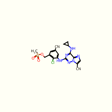 CS(=O)(=O)OCc1cc(C#N)cc(Nc2nc(NC3CC3)c3ncc(C#N)n3n2)c1Cl